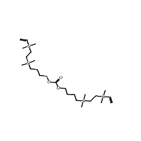 C=C[Si](C)(C)CC[Si](C)(C)CCCCOC(=O)OCCCC[Si](C)(C)CC[Si](C)(C)C=C